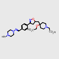 CCCN1CCN(N=Cc2ccc(C3=NOC(CC4(OCC(=O)O)CCN(CC(=O)O)CC4)C3)cc2)CC1